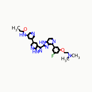 CCC(=O)Nc1cncc(-c2cnc3[nH]nc(-c4nc5c(-c6cc(F)cc(OCCN(C)C)c6)nccc5[nH]4)c3c2)c1